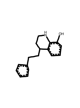 Oc1cccc2c1NCCC2CCc1ccccc1